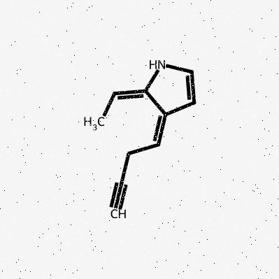 C#CC/C=c1/cc[nH]/c1=C/C